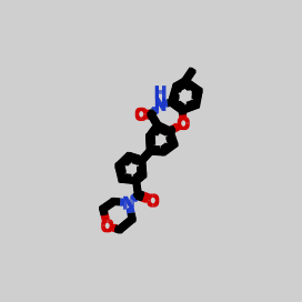 Cc1ccc2c(c1)NC(=O)c1cc(-c3cccc(C(=O)N4CCOCC4)c3)ccc1O2